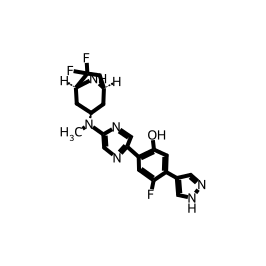 CN(c1cnc(-c2cc(F)c(-c3cn[nH]c3)cc2O)cn1)[C@H]1C[C@@H]2CC(F)(F)[C@H](C1)N2